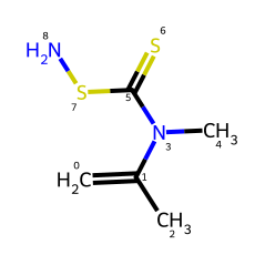 C=C(C)N(C)C(=S)SN